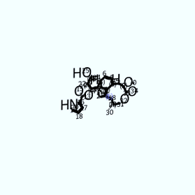 CO[C@H]1C[C@H]2C=C[C@@H]3C[C@]2(O[C@H]3[C@H](OC(=O)c2ccc[nH]2)[C@H](C)[C@H](C)O)/C(C)=C/[C@@H](C)COC1=O